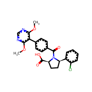 COc1ncnc(OC)c1-c1ccc(C(=O)N2[C@@H](c3ccccc3Cl)CC[C@H]2C(=O)O)cc1